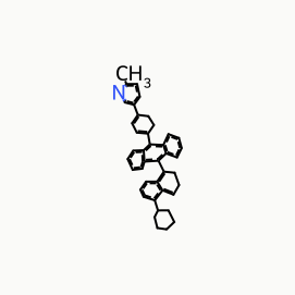 Cc1ccc(C2=CC=C(c3c4ccccc4c(C4=c5cccc(C6CCCCC6)c5=CCC4)c4ccccc34)CC2)cn1